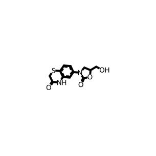 O=C1CSc2ccc(N3CC(CO)OC3=O)cc2N1